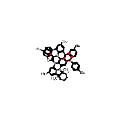 CC(C)(C)c1ccc(N(c2ccc(C(C)(C)C)cc2)c2cc3c4c(c2)N2c5c(cc(C(C)(C)C)cc5C5(C)CCCCC25C)B4c2oc4cc(C(C)(C)C)ccc4c2N3c2c(-c3ccccc3)cc(C(C)(C)C)cc2-c2ccccc2)cc1